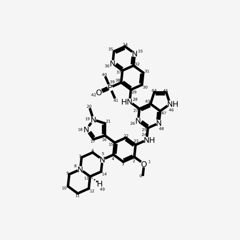 COc1cc(N2CCN3CCCC[C@@H]3C2)c(-c2cnn(C)c2)cc1Nc1nc(Nc2ccc3nccnc3c2P(C)(C)=O)c2cc[nH]c2n1